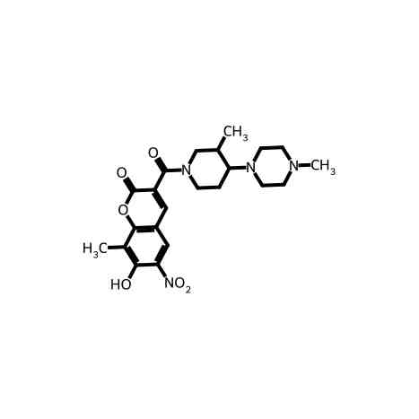 Cc1c(O)c([N+](=O)[O-])cc2cc(C(=O)N3CCC(N4CCN(C)CC4)C(C)C3)c(=O)oc12